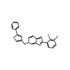 Fc1cccc(-c2nc3ccn(Cc4csc(-c5ccccc5)n4)cc-3n2)c1F